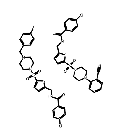 N#Cc1ccccc1N1CCN(S(=O)(=O)c2ccc(CNC(=O)c3ccc(Cl)cc3)s2)CC1.O=C(NCc1ccc(S(=O)(=O)N2CCN(Cc3ccc(F)cc3)CC2)s1)c1ccc(Cl)cc1